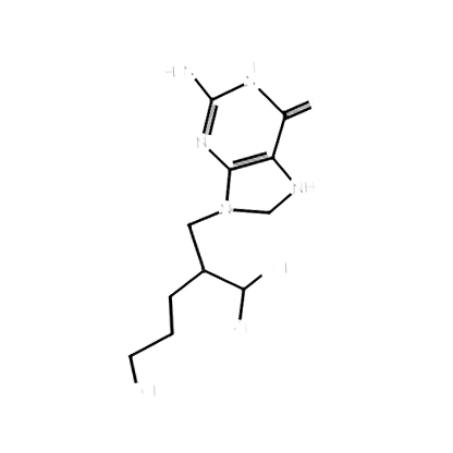 CC(O)C(CCCO)CN1CNc2c1nc(N)[nH]c2=O